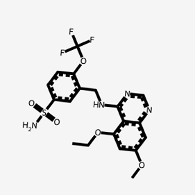 CCOc1cc(OC)cc2ncnc(NCc3cc(S(N)(=O)=O)ccc3OC(F)(F)F)c12